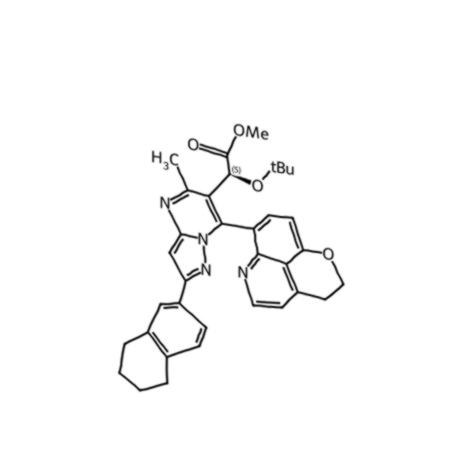 COC(=O)[C@@H](OC(C)(C)C)c1c(C)nc2cc(-c3ccc4c(c3)CCCC4)nn2c1-c1ccc2c3c(ccnc13)CCO2